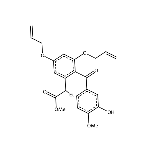 C=CCOc1cc(OCC=C)c(C(=O)c2ccc(OC)c(O)c2)c(C(CC)C(=O)OC)c1